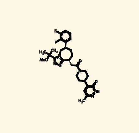 COC(C)(C)c1nnc2n1C[C@@H](c1cccc(F)c1F)CC[C@@H]2CC(=O)N1CCC(c2cc(C)n[nH]c2=O)CC1